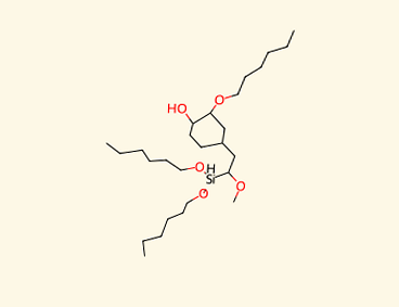 CCCCCCOC1CC(CC(OC)[SiH](OCCCCCC)OCCCCCC)CCC1O